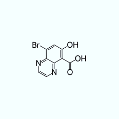 O=C(O)c1c(O)cc(Br)c2nccnc12